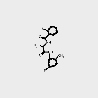 Cc1ccc(F)cc1NC(=O)C(C)NC(=O)c1ccccc1F